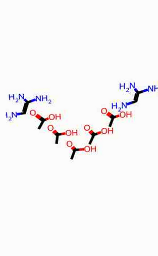 CC(=O)O.CC(=O)O.CC(=O)O.CC(=O)O.CC(=O)O.NC=C(N)N.NC=C(N)N